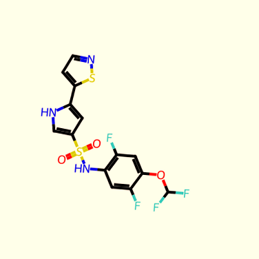 O=S(=O)(Nc1cc(F)c(OC(F)F)cc1F)c1c[nH]c(-c2ccns2)c1